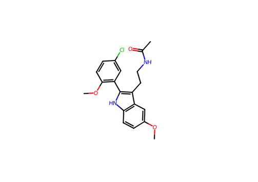 COc1ccc2[nH]c(-c3cc(Cl)ccc3OC)c(CCNC(C)=O)c2c1